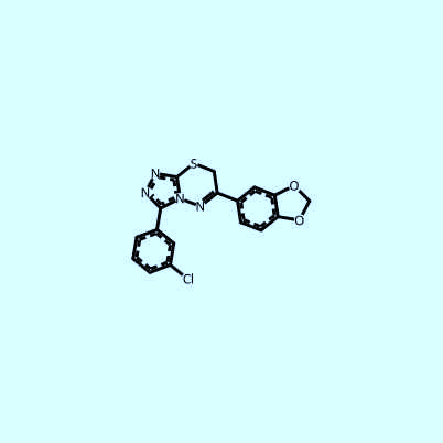 Clc1cccc(-c2nnc3n2N=C(c2ccc4c(c2)OCO4)CS3)c1